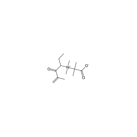 C=C(C)C(=O)C(CC)[N+](C)(C)C(C)(C)C(=O)[O-]